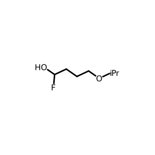 CC(C)OCCCC(O)F